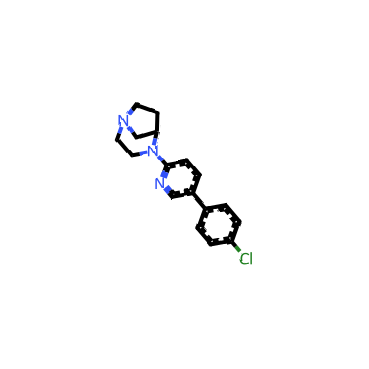 Clc1ccc(-c2ccc(N3CCN4CCC3C4)nc2)cc1